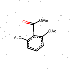 COC(=O)c1c(OC(C)=O)cccc1OC(C)=O